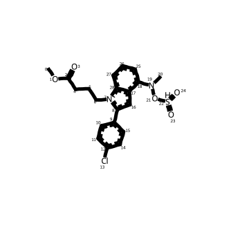 COC(=O)CCCn1c(-c2ccc(Cl)cc2)cc2c(N(C)O[SH](=O)=O)cccc21